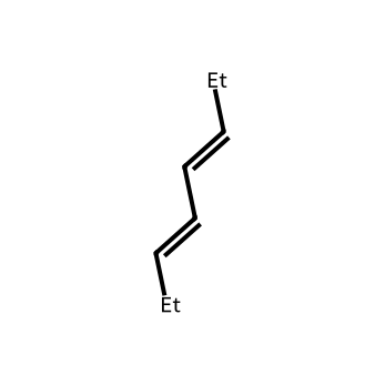 [CH]CC=CC=CC[CH2]